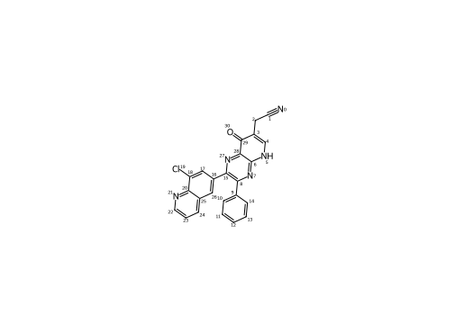 N#CCc1c[nH]c2nc(-c3ccccc3)c(-c3cc(Cl)c4ncccc4c3)nc2c1=O